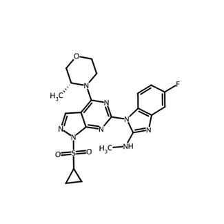 CNc1nc2cc(F)ccc2n1-c1nc(N2CCOC[C@H]2C)c2cnn(S(=O)(=O)C3CC3)c2n1